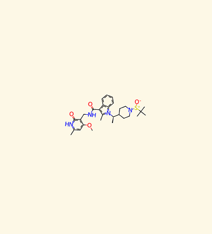 COc1cc(C)[nH]c(=O)c1CNC(=O)c1c(C)n([C@H](C)C2CCN([S+]([O-])C(C)(C)C)CC2)c2ccccc12